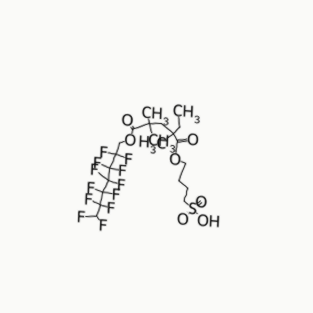 CCC(C)(CC(C)(C)C(=O)OCC(F)(F)C(F)(F)C(F)(F)C(F)(F)C(F)(F)C(F)F)C(=O)OCCCCS(=O)(=O)O